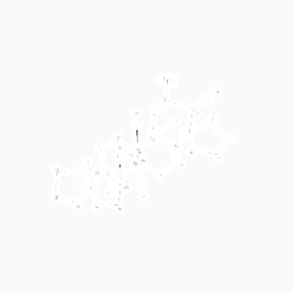 [C-]#[N+]C1=C[C@@]2(C)C(=CC[C@@H]3[C@@H]2CC[C@@]2(C)[C@H]3CCC23CCCO3)C2(CCCC2)C1=O